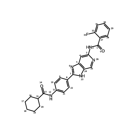 O=C(Nc1cc2nc(-c3ccc(NC(=O)C4CCCCC4)cc3)[nH]c2cn1)c1ccccc1F